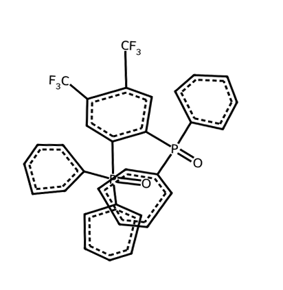 O=P(c1ccccc1)(c1ccccc1)c1cc(C(F)(F)F)c(C(F)(F)F)cc1P(=O)(c1ccccc1)c1ccccc1